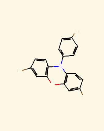 Brc1ccc(N2c3ccc(Br)cc3Oc3cc(Br)ccc32)cc1